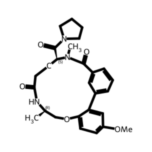 COc1ccc2c(c1)-c1cccc(c1)C(=O)N(C)[C@H](C(=O)N1CCCC1)CCC(=O)N[C@H](C)CO2